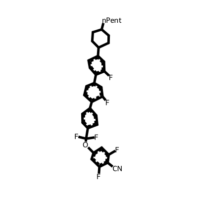 CCCCCC1CCC(c2ccc(-c3ccc(-c4ccc(C(F)(F)Oc5cc(F)c(C#N)c(F)c5)cc4)c(F)c3)c(F)c2)CC1